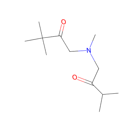 CC(C)C(=O)CN(C)CC(=O)C(C)(C)C